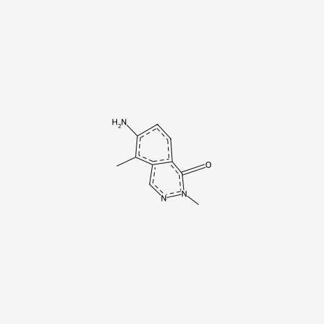 Cc1c(N)ccc2c(=O)n(C)ncc12